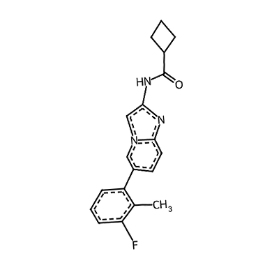 Cc1c(F)cccc1-c1ccc2nc(NC(=O)C3CCC3)cn2c1